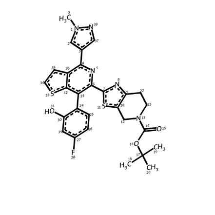 Cn1cc(-c2nc(-c3nc4c(s3)CN(C(=O)OC(C)(C)C)CC4)c(-c3ccc(F)cc3O)c3sccc23)cn1